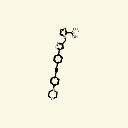 C[C@H](O)c1nccn1Cc1cc(-c2ccc(C#Cc3ccc(N4CCOCC4)cc3)cc2)on1